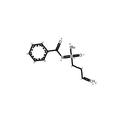 C=CCCS(=O)(=NC(=O)c1ccccc1)C(C)(C)C